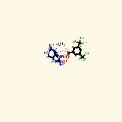 C[C@H]1[C@H](OC(=O)c2cc(C(F)(F)F)cc(C(F)(F)F)c2)[C@](O)(CO)C23NC(=N)NC2CNC(=N)N13